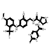 COc1ccc(Nc2ccc(CNC(=O)[C@]3(NC(=O)c4cnc(C)nc4)CCOC3)c(Cl)c2)c(C(F)(F)F)c1